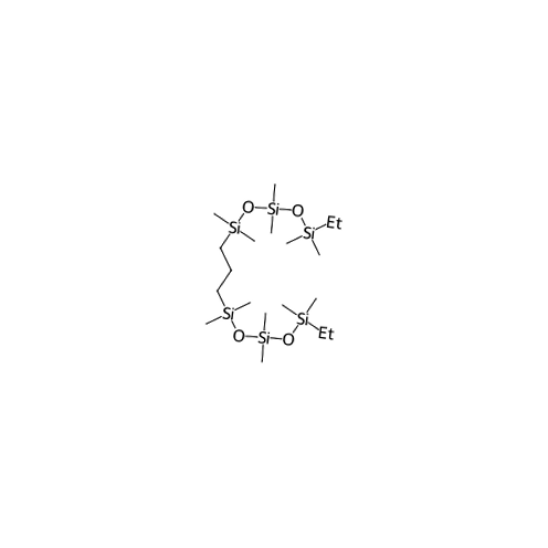 CC[Si](C)(C)O[Si](C)(C)O[Si](C)(C)CCC[Si](C)(C)O[Si](C)(C)O[Si](C)(C)CC